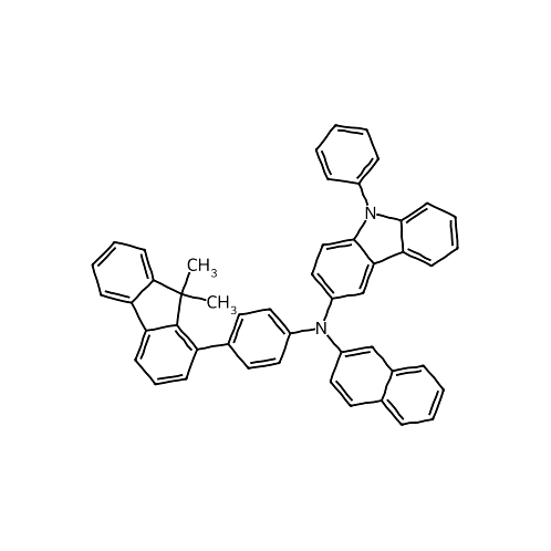 CC1(C)c2ccccc2-c2cccc(-c3ccc(N(c4ccc5ccccc5c4)c4ccc5c(c4)c4ccccc4n5-c4ccccc4)cc3)c21